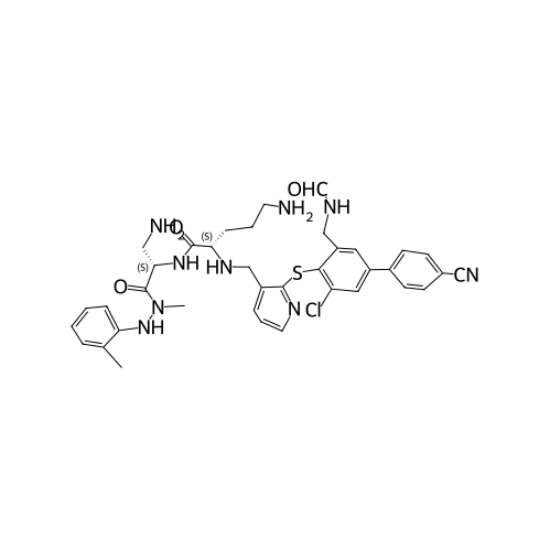 Cc1ccccc1NN(C)C(=O)[C@H](CN)NC(=O)[C@H](CCCN)NCc1cccnc1Sc1c(Cl)cc(-c2ccc(C#N)cc2)cc1CNC=O